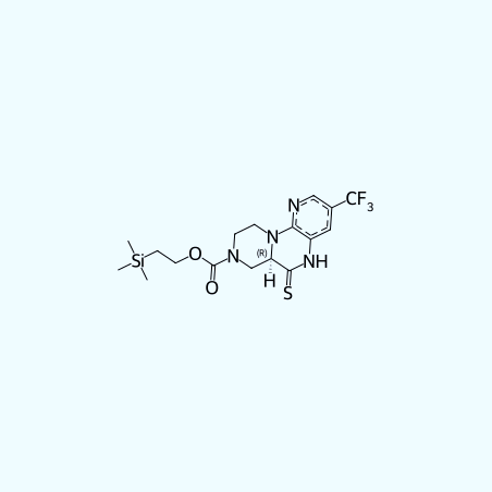 C[Si](C)(C)CCOC(=O)N1CCN2c3ncc(C(F)(F)F)cc3NC(=S)[C@H]2C1